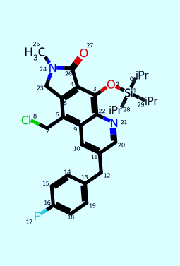 CC(C)[Si](Oc1c2c(c(CCl)c3cc(Cc4ccc(F)cc4)cnc13)CN(C)C2=O)(C(C)C)C(C)C